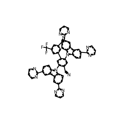 N#Cc1cc(-c2cc(-n3c4ccc(-c5ncccn5)cc4c4cc(-c5ncccn5)ccc43)c(C#N)cc2-n2c3ccc(-c4ncccn4)cc3c3cc(-c4ncccn4)ccc32)cc(C(F)(F)F)c1